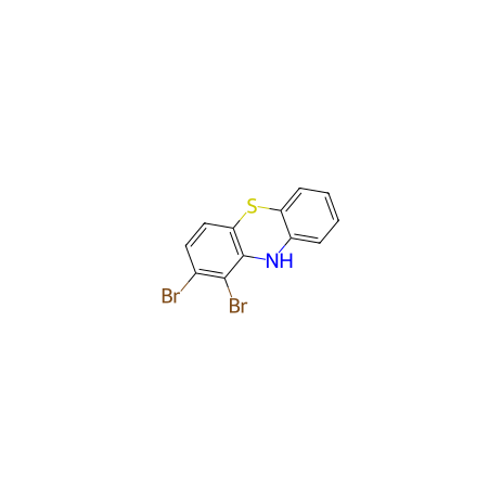 Brc1ccc2c(c1Br)Nc1ccccc1S2